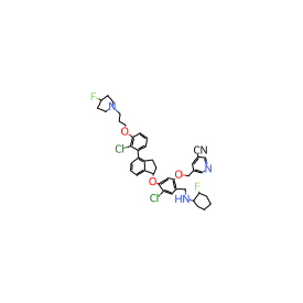 N#Cc1cncc(COc2cc(O[C@H]3CCc4c(-c5cccc(OCCCN6CCC(F)CC6)c5Cl)cccc43)c(Cl)cc2CN[C@@H]2CCCC[C@H]2F)c1